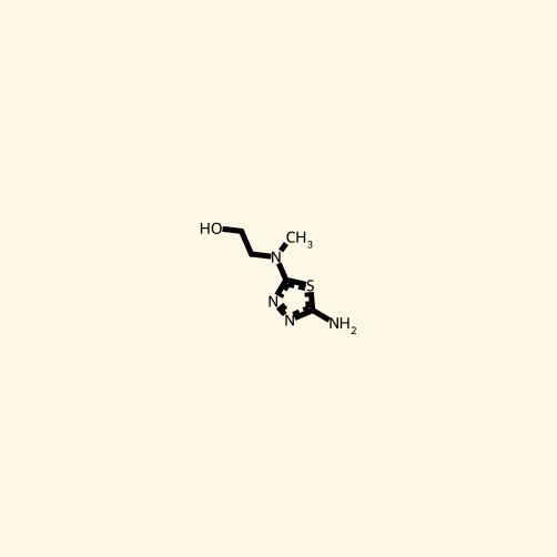 CN(CCO)c1nnc(N)s1